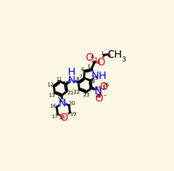 CCOC(=O)c1cc2c(Nc3cccc(N4CCOCC4)c3)ccc([N+](=O)[O-])c2[nH]1